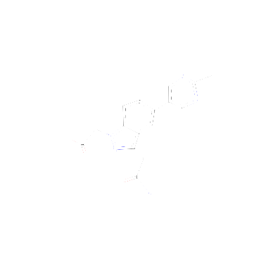 Cc1ncc(-c2ccc3c(c2)c(CC(N)=O)nn3CC(=O)O)cn1